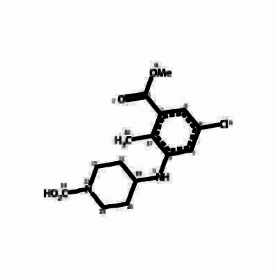 COC(=O)c1cc(Cl)cc(NC2CCN(C(=O)O)CC2)c1C